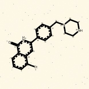 CCc1cccc2c(=O)[nH]c(-c3ccc(CN4CCNCC4)cc3)cc12